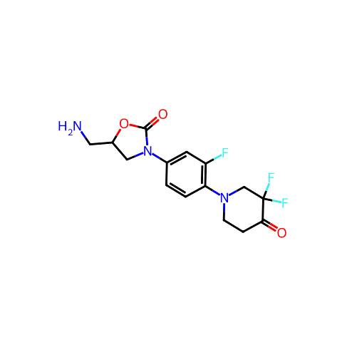 NCC1CN(c2ccc(N3CCC(=O)C(F)(F)C3)c(F)c2)C(=O)O1